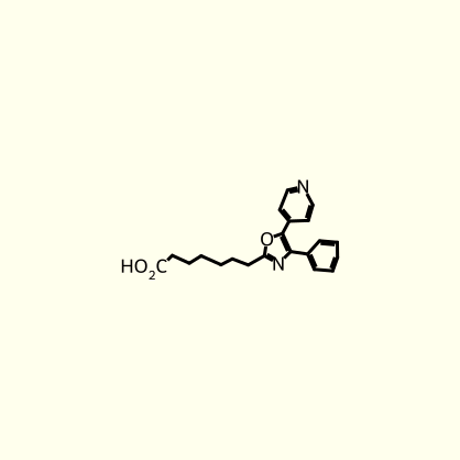 O=C(O)CCCCCCc1nc(-c2ccccc2)c(-c2ccncc2)o1